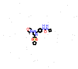 C[C@H]1COCCN1c1cc(C(C)(C)S(=O)(=O)C2CCCC2)nc(-c2ccc(NC(=O)NC3CCC3)cc2)n1